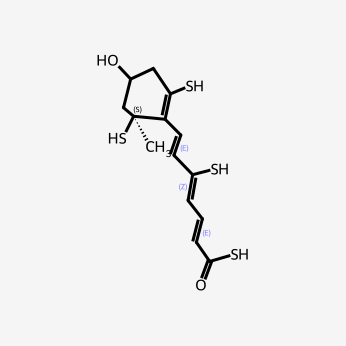 C[C@]1(S)CC(O)CC(S)=C1/C=C/C(S)=C/C=C/C(=O)S